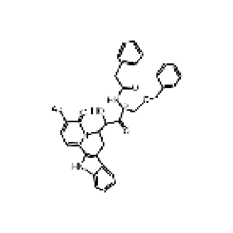 CC(=O)c1ccc2n(c1=O)C(C(O)C(=O)[C@H](COCc1ccccc1)NC(=O)Cc1ccccc1)Cc1c-2[nH]c2ccccc12